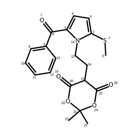 CSc1ccc(C(=O)c2ccccc2)n1CCC1C(=O)OC(C)(C)OC1=O